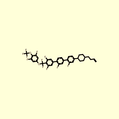 C=CCCC1CCC(c2ccc(-c3ccc(-c4cc(F)c(C(F)(F)Oc5cc(F)c(OC(F)(F)F)c(F)c5)c(F)c4)c(F)c3)c(F)c2)CC1